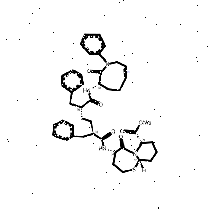 COC(=O)[C@@H]1CCC[C@@H]2SCC[C@H](NC(=O)[C@H](CC[C@H](Cc3ccccc3)C(=O)N[C@H]3CC/C=C\CN(c4ccccc4)C3=O)Cc3ccccc3)C(=O)N21